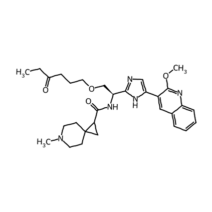 CCC(=O)CCCOC[C@H](NC(=O)C1CC12CCN(C)CC2)c1ncc(-c2cc3ccccc3nc2OC)[nH]1